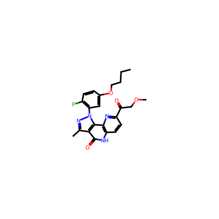 CCCCOc1ccc(F)c(-n2nc(C)c3c(=O)[nH]c4ccc(C(=O)COC)nc4c32)c1